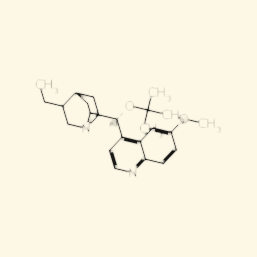 CCC1CN2CCC1CC2[C@H](OC(C)(C)C)c1ccnc2ccc(OC)cc12